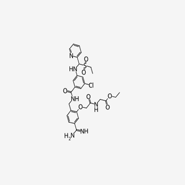 CCOC(=O)CNC(=O)COc1cc(C(=N)N)ccc1CNC(=O)c1cc(Cl)cc(NC(c2ccccn2)S(=O)(=O)CC)c1